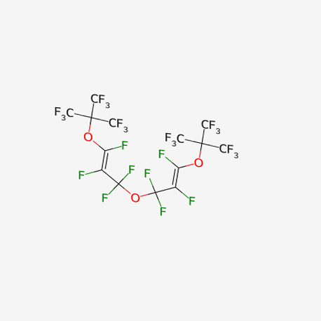 FC(OC(C(F)(F)F)(C(F)(F)F)C(F)(F)F)=C(F)C(F)(F)OC(F)(F)C(F)=C(F)OC(C(F)(F)F)(C(F)(F)F)C(F)(F)F